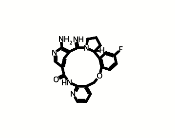 N=C1c2cc(cnc2N)C(=O)Nc2ncccc2COc2ccc(F)cc2[C@H]2CCCN12